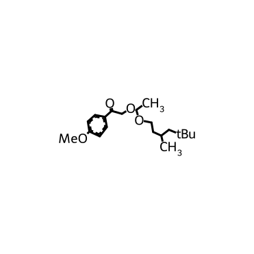 COc1ccc(C(=O)COC(C)OCCC(C)CC(C)(C)C)cc1